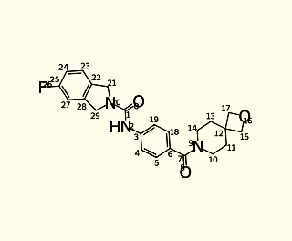 O=C(Nc1ccc(C(=O)N2CCC3(CC2)COC3)cc1)N1Cc2ccc(F)cc2C1